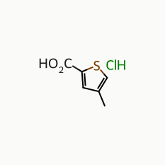 Cc1csc(C(=O)O)c1.Cl